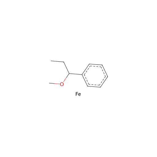 CCC(OC)c1ccccc1.[Fe]